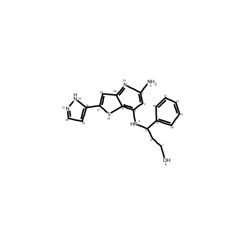 Nc1cc(NC(CCO)c2ccccc2)c2sc(-c3ccn[nH]3)cc2n1